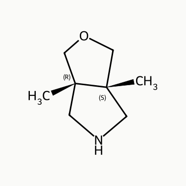 C[C@@]12CNC[C@]1(C)COC2